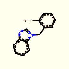 O=C(O)c1ccccc1Cn1cnc2ccccc21